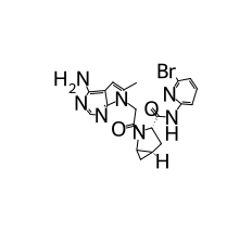 Cc1cc2c(N)ncnc2n1CC(=O)N1C2C[C@@H]2C[C@H]1C(=O)Nc1cccc(Br)n1